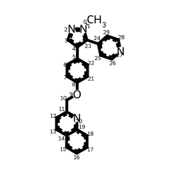 Cn1ncc(-c2ccc(OCc3ccc4ccccc4n3)cc2)c1-c1ccncc1